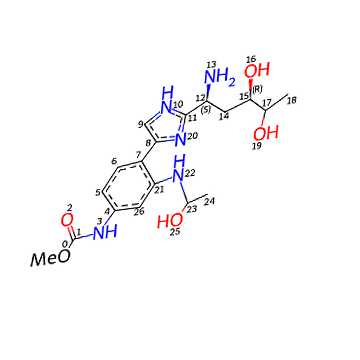 COC(=O)Nc1ccc(-c2c[nH]c([C@@H](N)C[C@@H](O)C(C)O)n2)c(NC(C)O)c1